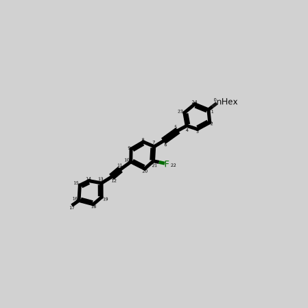 CCCCCCc1ccc(C#Cc2ccc(C#Cc3ccc(C)cc3)cc2F)cc1